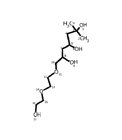 CC(C)(O)CC(O)CC(O)COCCOCCO